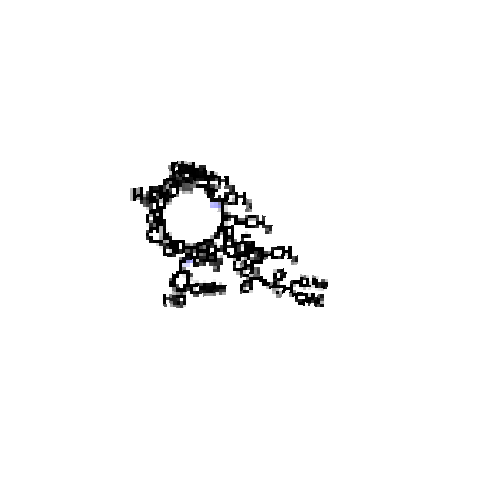 C=CC[C@@H]1/C=C(\C)C[C@H](C)C[C@H](OC)[C@H]2O[C@@](O)(C(=O)C(=O)N3CCCC[C@H]3C(=O)O[C@H](/C(C)=C/C3CC[C@@H](O)[C@H](OC)C3)[C@H](C)[C@@H](OC(=O)CC(C)(C)c3c(C)cc(C)cc3OC(=O)CCC(=O)OC(COC(C)=O)COC(C)=O)CC1=O)[C@H](C)C[C@@H]2OC